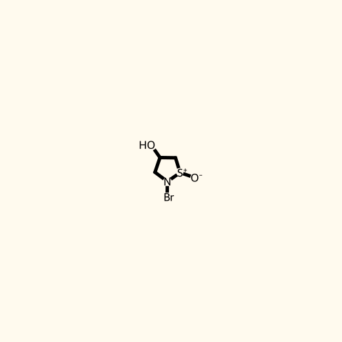 [O-][S+]1CC(O)CN1Br